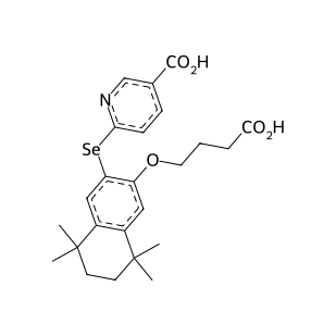 CC1(C)CCC(C)(C)c2cc([Se]c3ccc(C(=O)O)cn3)c(OCCCC(=O)O)cc21